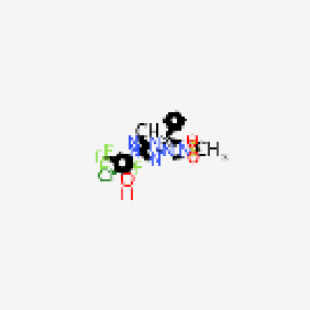 Cc1nn(-c2cc(C(F)(F)F)c(Cl)c(O)c2F)c2cnc(N3CCN(S(C)(=O)=O)C[C@H]3Cc3ccccc3)nc12